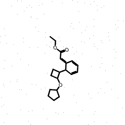 CCOC(=O)C=C1C=CC=CC1C1CCC1OC1CCCC1